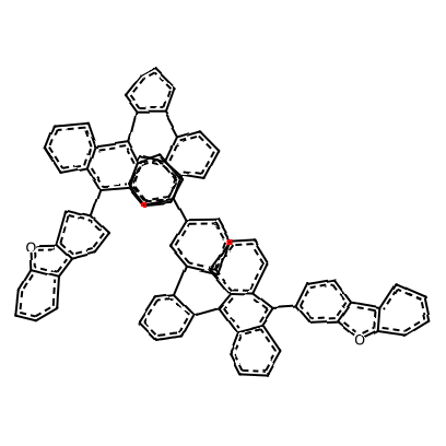 c1cc(-c2ccccc2-c2c3ccccc3c(-c3ccc4c(c3)oc3ccccc34)c3ccccc23)cc(-c2cccc3c(-c4ccccc4-c4c5ccccc5c(-c5ccc6c(c5)oc5ccccc56)c5ccccc45)cccc23)c1